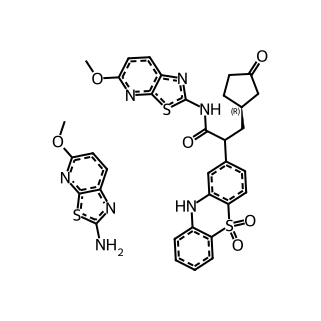 COc1ccc2nc(N)sc2n1.COc1ccc2nc(NC(=O)C(C[C@H]3CCC(=O)C3)c3ccc4c(c3)Nc3ccccc3S4(=O)=O)sc2n1